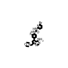 NC1=NC=NN2C(CN3CCOCC3)=CC(c3ccc(NC(=O)Nc4cccc(Br)n4)c(F)c3)C12